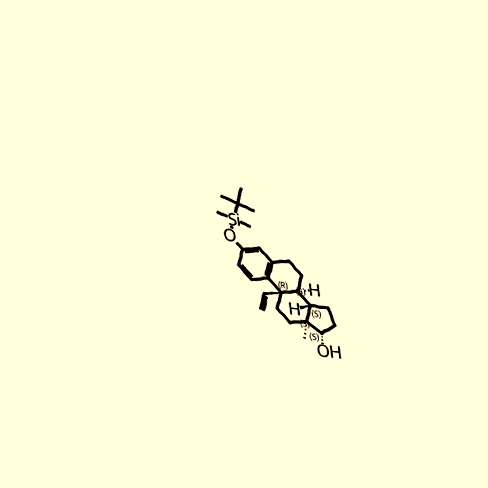 C=C[C@]12CC[C@]3(C)[C@@H](O)CC[C@H]3[C@@H]1CCc1cc(O[Si](C)(C)C(C)(C)C)ccc12